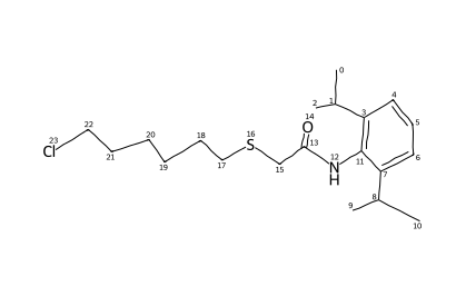 CC(C)c1cccc(C(C)C)c1NC(=O)CSCCCCCCCl